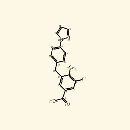 Cc1c(F)cc(C(=O)O)cc1Cc1ccc(-n2cccn2)cc1